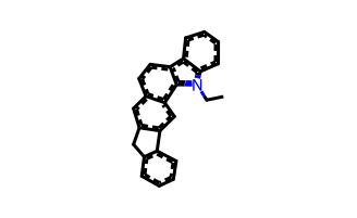 CCn1c2ccccc2c2ccc3cc4c(cc3c21)-c1ccccc1C4